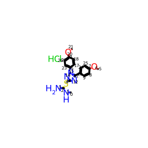 CNC(N)=S.COc1ccc(-c2ncnn2-c2ccc(OC)cc2)cc1.Cl